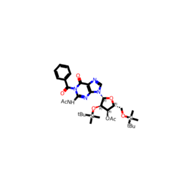 CC(=O)Nc1nc2c(ncn2[C@@H]2O[C@H](CO[Si](C)(C)C(C)(C)C)[C@@H](OC(C)=O)[C@H]2O[Si](C)(C)C(C)(C)C)c(=O)n1C(=O)c1ccccc1